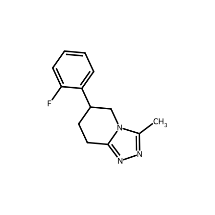 Cc1nnc2n1CC(c1ccccc1F)CC2